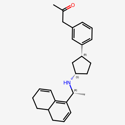 CC(=O)Cc1cccc([C@@H]2CC[C@H](N[C@H](C)C3=C4C=CCCC4CC=C3)C2)c1